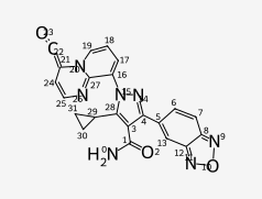 NC(=O)c1c(-c2ccc3nonc3c2)nn(C2=CC=CN3C(=C=O)C=CN=C23)c1C1CC1